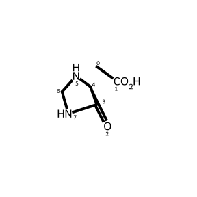 CC(=O)O.O=C1CNCN1